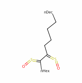 CCCCCCCCCCCCCCC(=S=O)C(CCCCCC)=S=O